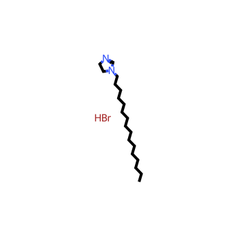 Br.CCCCCCCCCCCCCCCCN1C=NCC1